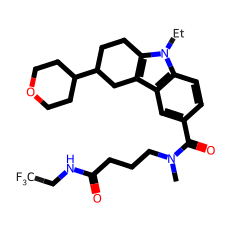 CCn1c2c(c3cc(C(=O)N(C)CCCC(=O)NCC(F)(F)F)ccc31)CC(C1CCOCC1)CC2